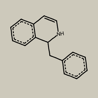 C1=Cc2ccccc2C(Cc2ccccc2)N1